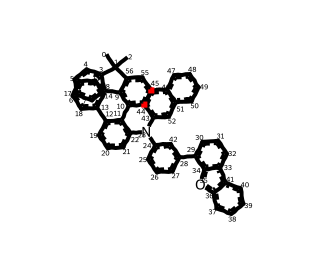 CC1(C)c2ccccc2-c2c(-c3c(-c4ccccc4)cccc3N(c3cccc(-c4cccc5c4oc4ccccc45)c3)c3ccc4ccccc4c3)cccc21